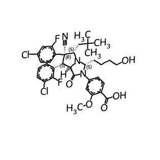 COc1cc(N2C(=O)[C@H]3[C@H](c4cccc(Cl)c4F)[C@@](C#N)(c4ccc(Cl)cc4F)[C@H](CC(C)(C)C)N3[C@@H]2CCCCO)ccc1C(=O)O